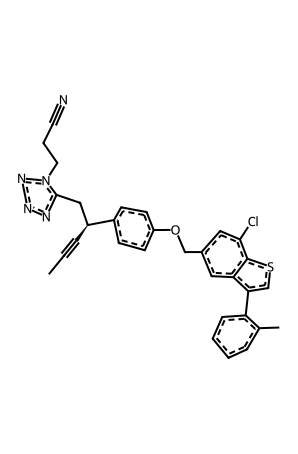 CC#C[C@@H](Cc1nnnn1CCC#N)c1ccc(OCc2cc(Cl)c3scc(-c4ccccc4C)c3c2)cc1